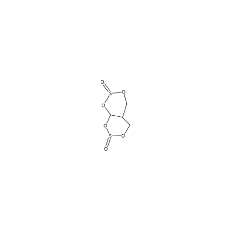 O=S1OCC2COS(=O)OC2O1